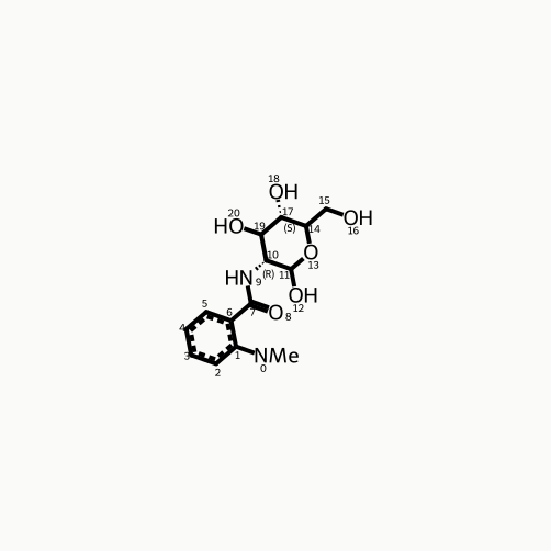 CNc1ccccc1C(=O)N[C@H]1C(O)OC(CO)[C@@H](O)C1O